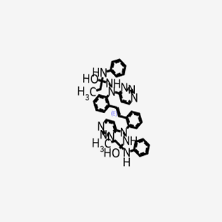 CCC(O)(Nc1ccccc1)NN(c1ccnnn1)c1ccccc1/C=C/c1ccccc1N(NC(O)(CC)Nc1ccccc1)c1ccnnn1